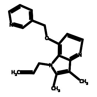 C=CCn1c(C)c(C)c2nccc(OCc3cccnc3)c21